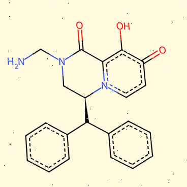 NCN1C[C@H](C(c2ccccc2)c2ccccc2)n2ccc(=O)c(O)c2C1=O